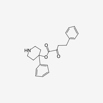 O=C(CCc1ccccc1)C(=O)OC1(c2ccccc2)CCNCC1